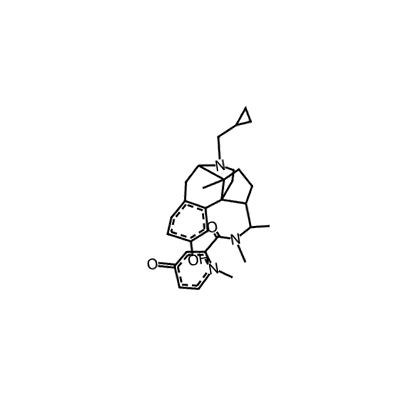 CC(C1CCC2(C)C3Cc4ccc(O)cc4C12CCN3CC1CC1)N(C)C(=O)c1cc(=O)ccn1C